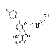 CC(C)(CO)NC[C@H]1Cn2c(=O)c(C(N)=O)c(O)c3ncc(Cc4ccc(F)cc4)c(c32)O1